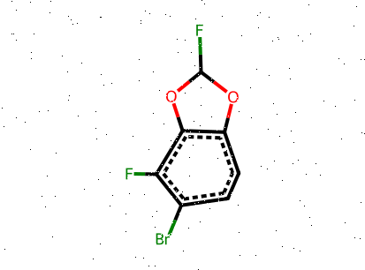 Fc1c(Br)ccc2c1OC(F)O2